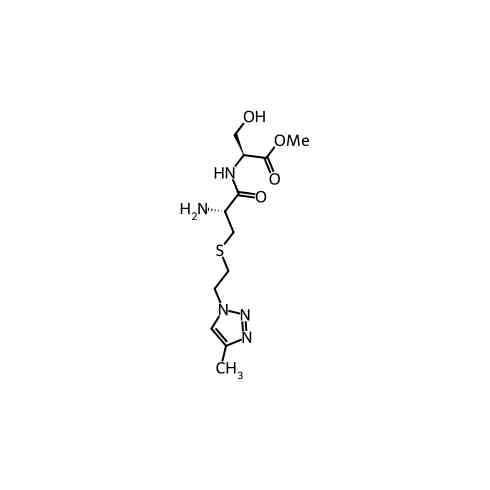 COC(=O)[C@H](CO)NC(=O)[C@@H](N)CSCCn1cc(C)nn1